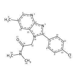 Cc1cnc2nc(-c3ccc(Cl)cc3)n(CC(=O)N(C)C)c2c1